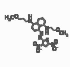 COCCCNc1ccc(N=Nc2sc([N+](=O)[O-])cc2[N+](=O)[O-])c2c(NCCOC)cccc12